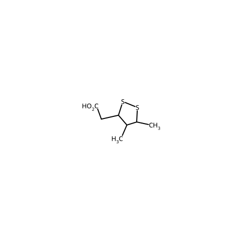 CC1SSC(CC(=O)O)C1C